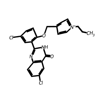 CCC[n+]1ccc(COc2ccc(Cl)cc2-c2nc3ccc(Cl)cc3c(=O)[nH]2)cc1